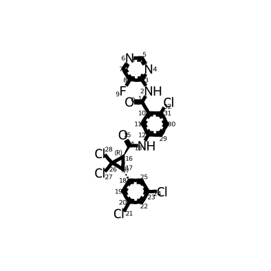 O=C(Nc1ncncc1F)c1cc(NC(=O)[C@H]2[C@H](c3cc(Cl)cc(Cl)c3)C2(Cl)Cl)ccc1Cl